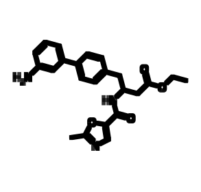 CCOC(=O)CC(Cc1ccc(-c2cccc(N)c2)cc1)NC(=O)c1cnc(C)o1